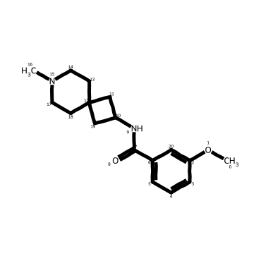 COc1cccc(C(=O)NC2CC3(CCN(C)CC3)C2)c1